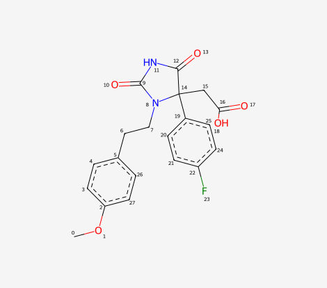 COc1ccc(CCN2C(=O)NC(=O)C2(CC(=O)O)c2ccc(F)cc2)cc1